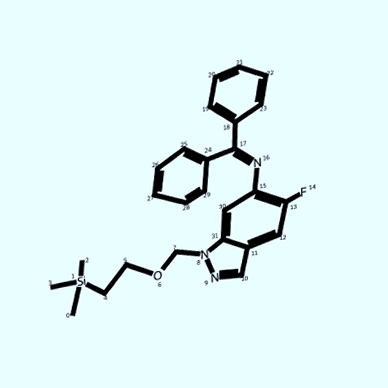 C[Si](C)(C)CCOCn1ncc2cc(F)c(N=C(c3ccccc3)c3ccccc3)cc21